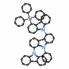 c1ccc(-n2c3cccc(-n4c5ccccc5c5c([Si](c6ccccc6)(c6ccccc6)c6ccccc6)cccc54)c3c3cccc(-n4c5ccccc5c5ccccc54)c32)cc1